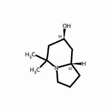 CC1(C)C[C@@H](O)C[C@@H]2CCCN21